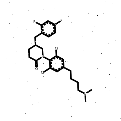 CN(C)CCCCc1cc(Cl)c(N2CC(Cc3ccc(F)cc3F)CCC2=O)c(Cl)c1